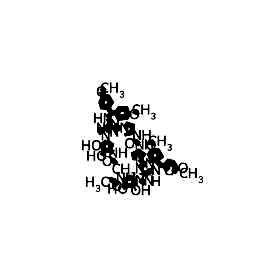 CCC(=O)NC1CC(n2cnc3c(NC(c4ccc(OC)cc4)c4ccc(OC)cc4)nc(N4CCC(NC(=O)N[C@H]5CCN(c6nc(NC(c7ccc(OC)cc7)c7ccc(OC)cc7)c7ncn([C@@H]8C[C@@H](NC(=O)CC)C(O)[C@@H]8O)c7n6)C5)C4)nc32)C(O)C1O